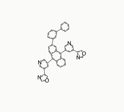 c1ccc(-c2cccc(-c3ccc4c(-c5cncc(-c6cocn6)c5)c5ccccc5c(-c5cncc(-c6cocn6)c5)c4c3)c2)cc1